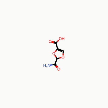 NC(=O)C1OC=C(C(=O)O)O1